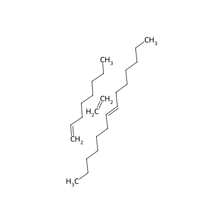 C=C.C=CCCCCCC.CCCCCC/C=C/CCCCCC